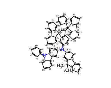 CC1(C)c2ccccc2-c2ccc(N(c3ccc4c(c3)C3(C5=C4C4(c6ccccc65)c5ccccc5-c5ccccc54)c4ccccc4-c4ccccc43)c3ccc4c(c3)c3ccccc3n4-c3ccccc3)cc21